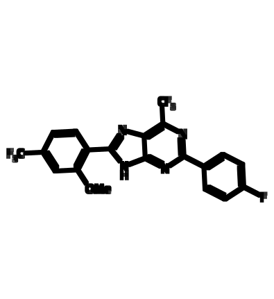 COc1cc(C(F)(F)F)ccc1-c1nc2c(C(F)(F)F)nc(-c3ccc(F)cc3)nc2[nH]1